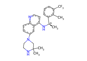 Cc1c([C@@H](C)Nc2ccnc3ccc(N4CCNC(C)(C)C4)cc23)cccc1C(F)(F)F